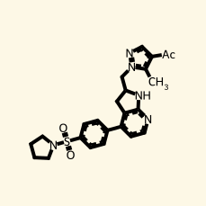 CC(=O)c1cnn(CC2Cc3c(-c4ccc(S(=O)(=O)N5CCCC5)cc4)ccnc3N2)c1C